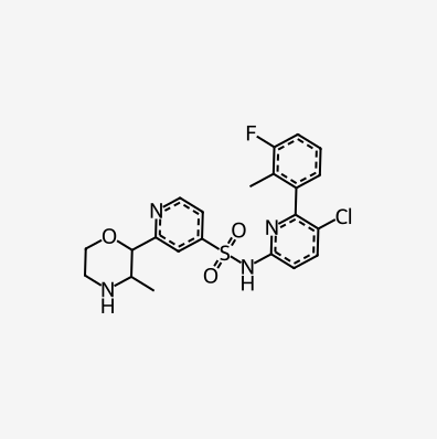 Cc1c(F)cccc1-c1nc(NS(=O)(=O)c2ccnc(C3OCCNC3C)c2)ccc1Cl